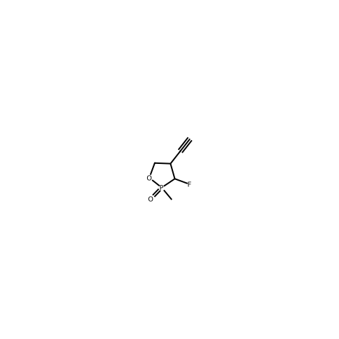 C#CC1COP(C)(=O)C1F